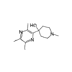 Cc1nc(C)c(C2(O)CCN(C)CC2)nc1C